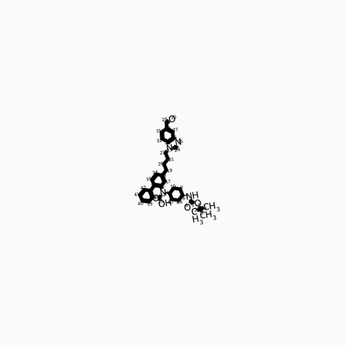 CC(C)(C)OC(=O)N[C@H]1CC[C@H](N(C(=O)O)c2cc(CCCCn3cnc4cc(C=O)ccc43)ccc2-c2ccccc2)CC1